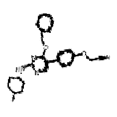 C[C@H]1CC[C@H](Nc2ncc(-c3ccc(OCC#N)cc3)c(OCc3ccccc3)n2)CC1